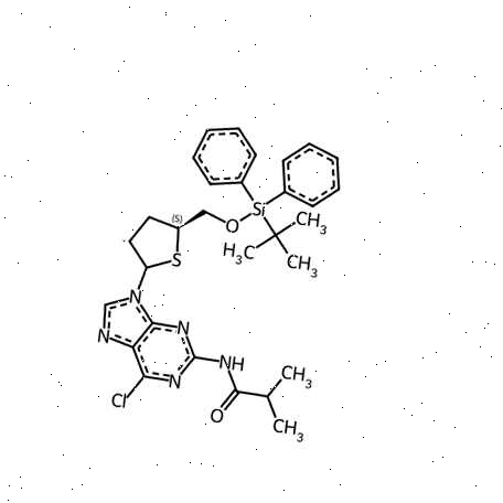 CC(C)C(=O)Nc1nc(Cl)c2ncn(C3[CH]C[C@@H](CO[Si](c4ccccc4)(c4ccccc4)C(C)(C)C)S3)c2n1